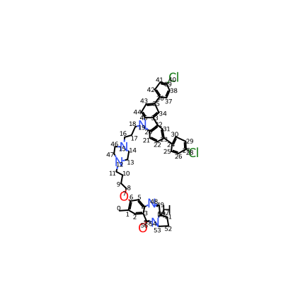 Cc1cc2c(cc1OCCCCN1CCN(CCCn3c4ccc(-c5ccc(Cl)cc5)cc4c4cc(-c5ccc(Cl)cc5)ccc43)CC1)N=C[C@@H]1CCCN1C2=O